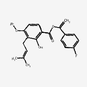 C=C(OC(=O)c1ccc(OC(C)C)c(CC=C(C)C)c1O)c1ccc(F)cc1